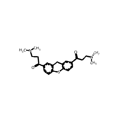 CN(C)CCC(=O)c1ccc2c(c1)Cc1cc(C(=O)CCN(C)C)ccc1S2